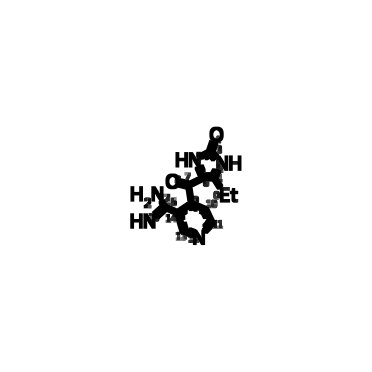 CCc1[nH]c(=O)[nH]c1C(=O)c1ccncc1C(=N)N